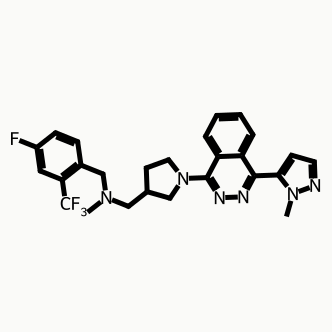 CN(Cc1ccc(F)cc1C(F)(F)F)CC1CCN(c2nnc(-c3ccnn3C)c3ccccc23)C1